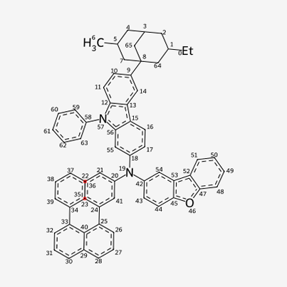 CCC1CC2CC(C)CC(c3ccc4c(c3)c3ccc(N(c5cccc(-c6cccc7cccc(-c8ccccc8)c67)c5)c5ccc6oc7ccccc7c6c5)cc3n4-c3ccccc3)(C1)C2